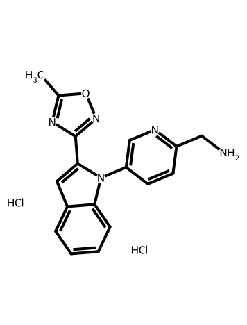 Cc1nc(-c2cc3ccccc3n2-c2ccc(CN)nc2)no1.Cl.Cl